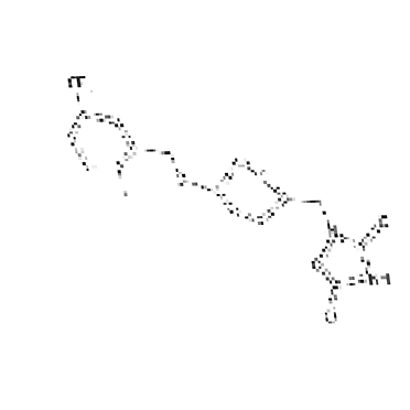 O=c1[nH]c(=O)n(Cc2ccc(OCc3cc(C(F)(F)F)ccc3F)cc2)o1